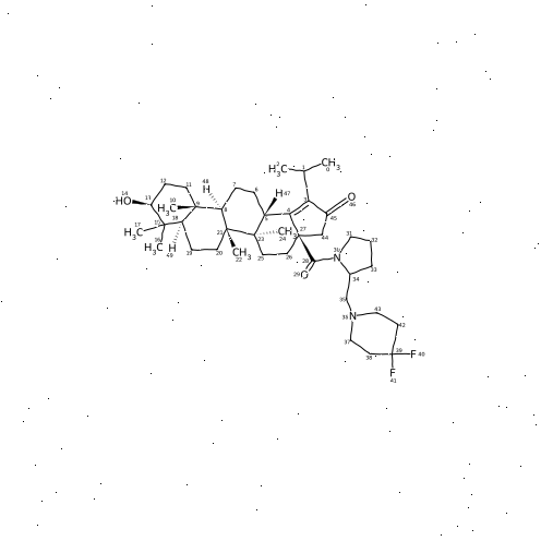 CC(C)C1=C2[C@H]3CC[C@@H]4[C@@]5(C)CC[C@H](O)C(C)(C)[C@@H]5CC[C@@]4(C)[C@]3(C)CC[C@@]2(C(=O)N2CCCC2CN2CCC(F)(F)CC2)CC1=O